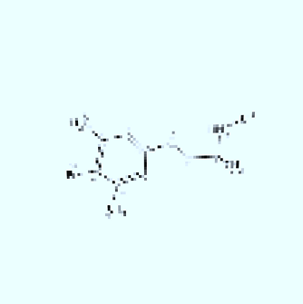 Cc1cc(OCC(C)NCl)cc(C)c1Br